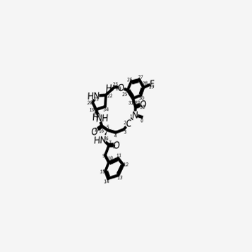 CN1CCC[C@H](NC(=O)Cc2ccccc2)C(=O)N[C@H]2CN[C@H](COc3ccc(F)cc3C1=O)C2